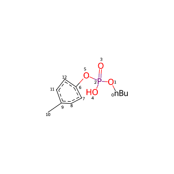 CCCCOP(=O)(O)Oc1ccc(C)cc1